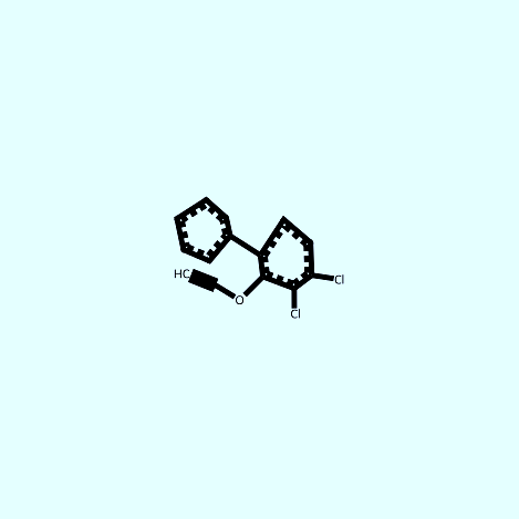 C#COc1c(-c2ccccc2)ccc(Cl)c1Cl